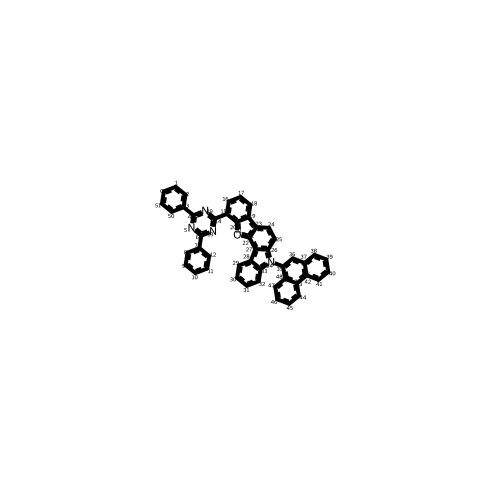 c1ccc(-c2nc(-c3ccccc3)nc(-c3cccc4c3oc3c4ccc4c3c3ccccc3n4-c3cc4ccccc4c4ccccc34)n2)cc1